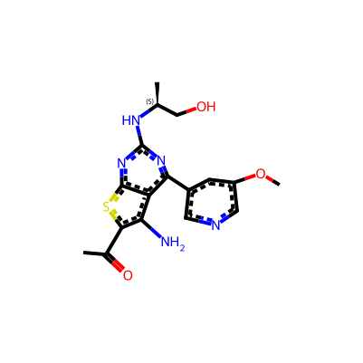 COc1cncc(-c2nc(N[C@@H](C)CO)nc3sc(C(C)=O)c(N)c23)c1